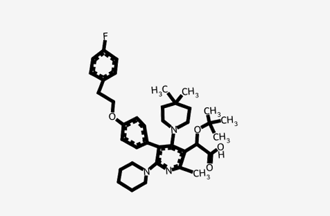 Cc1nc(N2CCCCC2)c(-c2ccc(OCCc3ccc(F)cc3)cc2)c(N2CCC(C)(C)CC2)c1C(OC(C)(C)C)C(=O)O